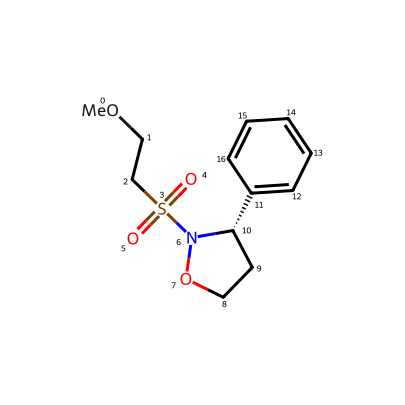 COCCS(=O)(=O)N1OCC[C@H]1c1ccccc1